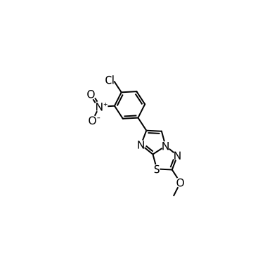 COc1nn2cc(-c3ccc(Cl)c([N+](=O)[O-])c3)nc2s1